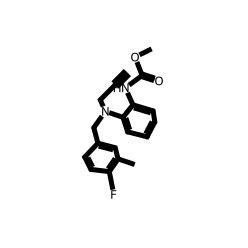 C#CCN(Cc1ccc(F)c(C)c1)c1ccccc1NC(=O)OC